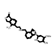 COC1=C(C#N)CNC(n2ncc3c(CNCCc4ccc5c(c4C)COC5=O)cccc32)=C1